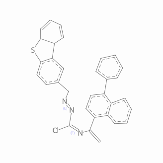 C=C(/N=C(Cl)\N=N\Cc1ccc2c(c1)C1C=CC=CC1S2)c1ccc(-c2ccccc2)c2ccccc12